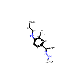 CCC/C(=N\NC=O)c1ccc(NCCOC)c(C(F)(F)F)c1